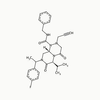 C#CCN1CC(=O)N2[C@@H](C(C)C)C(=O)N(C(C)c3ccc(F)cc3)C[C@@H]2N1C(=O)NCc1ccccc1